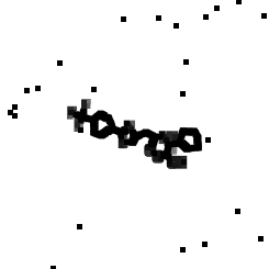 O=C(Cc1csc(-c2ccc(C(F)(F)F)cc2)n1)N[C@H](C(=O)O)c1ccccc1